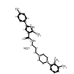 Cc1cccc(N2CCN(CCCNC(=O)c3cc(-c4ccc(Cl)cc4)[nH]c3C)CC2)c1C.Cl